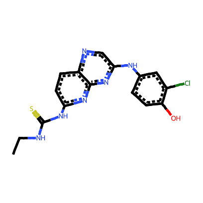 CCNC(=S)Nc1ccc2ncc(Nc3ccc(O)c(Cl)c3)nc2n1